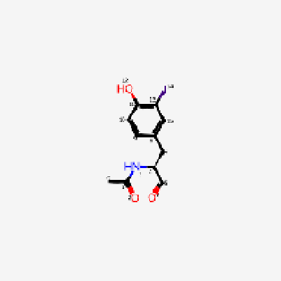 CC(=O)N[C@H](C=O)Cc1ccc(O)c(I)c1